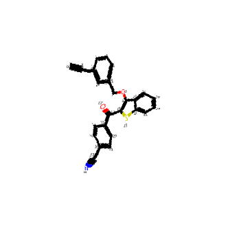 C#Cc1cccc(COc2c(C(=O)c3ccc(C#N)cc3)sc3ccccc23)c1